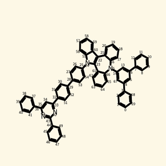 c1ccc(-c2cc(-c3ccccc3)cc(N3c4ccccc4-c4c(n(-c5ccc(-c6ccc(-c7cc(-c8ccccc8)nc(-c8ccccc8)n7)cc6)cc5)c5ccccc45)-c4ccccc43)c2)cc1